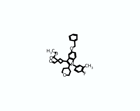 COC(=O)C1(C=O)CC(c2c(C3CCOCC3)n(-c3ccc(F)c(C)c3)c3ccc(OCc4ccccc4)cc23)C1